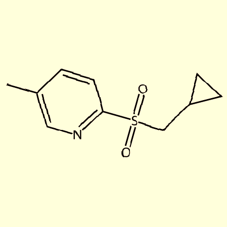 Cc1ccc(S(=O)(=O)CC2CC2)nc1